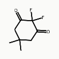 CC1(C)CC(=O)C(F)(F)C(=O)C1